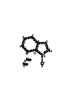 [Na].[Na].[O-][s+]1ncc2ccccc21